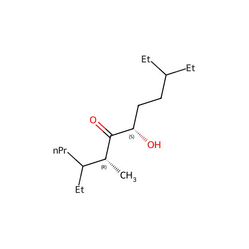 CCCC(CC)[C@@H](C)C(=O)[C@@H](O)CCC(CC)CC